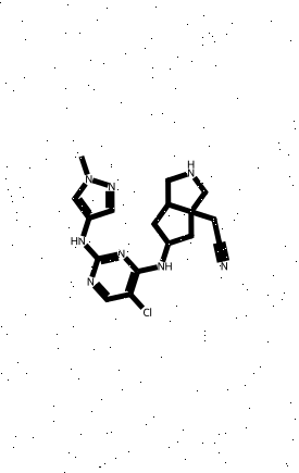 Cn1cc(Nc2ncc(Cl)c(NC3CC4CNCC4(CC#N)C3)n2)cn1